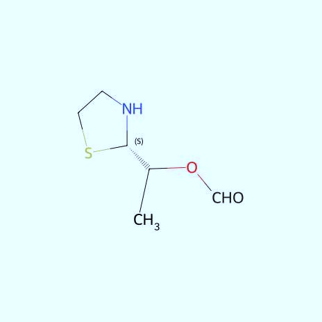 CC(OC=O)[C@H]1NCCS1